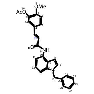 COc1ccc(/C=C/C(=O)Nc2cccc3c2ccn3Cc2ccccc2)cc1OC(C)=O